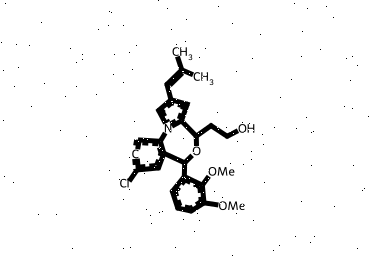 COc1cccc(C2OC(CCO)c3cc(C=C(C)C)cn3-c3ccc(Cl)cc32)c1OC